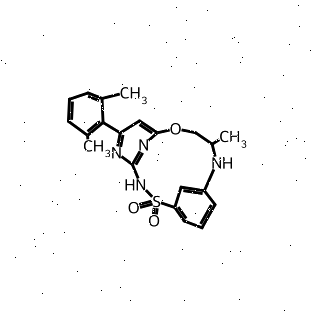 Cc1cccc(C)c1-c1cc2nc(n1)NS(=O)(=O)c1cccc(c1)NC(C)CO2